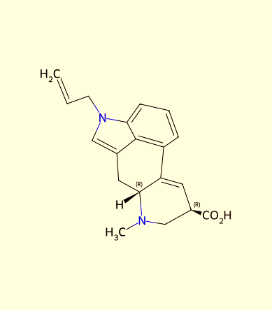 C=CCn1cc2c3c(cccc31)C1=C[C@@H](C(=O)O)CN(C)[C@@H]1C2